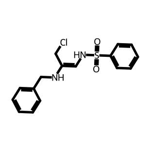 O=S(=O)(N/C=C(\CCl)NCc1ccccc1)c1ccccc1